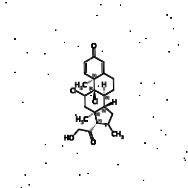 CC1C[C@H]2[C@@H]3CCC4=CC(=O)C=C[C@]4(C)[C@@]3(Cl)C(Cl)C[C@]2(C)[C@H]1C(=O)CO